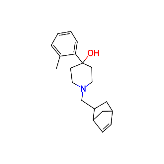 Cc1ccccc1C1(O)CCN(CC2CC3C=CC2C3)CC1